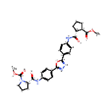 CC(C)(C)OC(=O)C1CCC[C@H]1C(=O)Nc1ccc(-c2nnc(-c3ccc(NC(=O)[C@@H]4CCCN4C(=O)OC(C)(C)C)cc3)o2)cc1